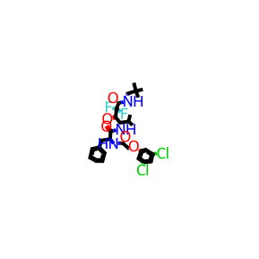 CC(C)[C@H](NC(=O)C(Cc1ccccc1)NC(=O)COc1cc(Cl)cc(Cl)c1)C(=O)C(F)(F)C(=O)NCC(C)(C)C